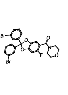 O=C(c1cc2c(cc1F)OC(c1cccc(Br)c1)(c1cccc(Br)c1)O2)N1CCOCC1